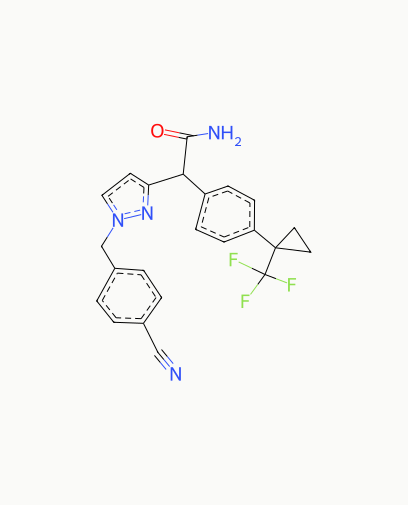 N#Cc1ccc(Cn2ccc(C(C(N)=O)c3ccc(C4(C(F)(F)F)CC4)cc3)n2)cc1